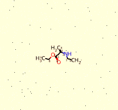 [CH2]CNC(=C)C(=O)OCC